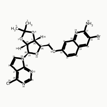 CC1(C)O[C@@H]2[C@H](O1)[C@@H](COc1ccc3cc(Br)c(N)nc3c1)O[C@H]2n1ccc2c(Cl)ncnc21